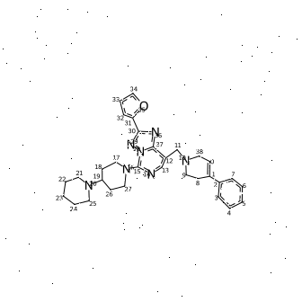 C1=C(c2ccccc2)CCN(Cc2cnc(N3CCC(N4CCCCC4)CC3)n3nc(-c4ccco4)nc23)C1